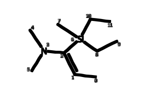 CC=C(N(C)C)[Si](C)(CC)CC